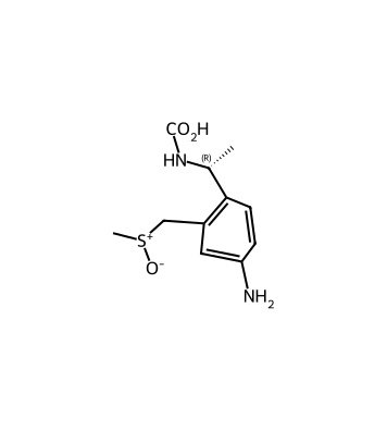 C[C@@H](NC(=O)O)c1ccc(N)cc1C[S+](C)[O-]